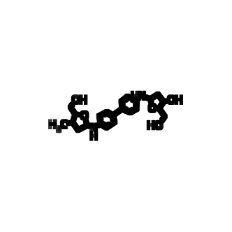 CC1CC(Nc2ccc(-c3ccc(NC4CC(O)C(CO)O4)cc3)cc2)OC1CO